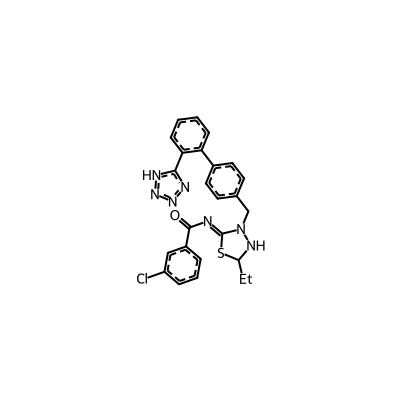 CCC1NN(Cc2ccc(-c3ccccc3-c3nnn[nH]3)cc2)C(=NC(=O)c2cccc(Cl)c2)S1